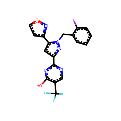 Oc1nc(-c2cc(-c3ccon3)n(Cc3ccccc3I)n2)ncc1C(F)(F)F